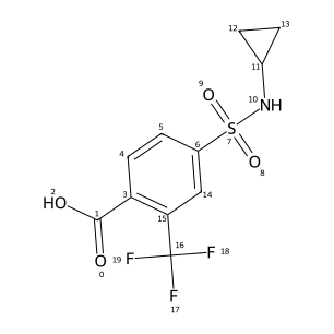 O=C(O)c1ccc(S(=O)(=O)NC2CC2)cc1C(F)(F)F